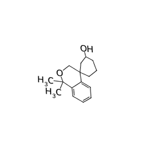 CC1(C)OCC2(CCCC(O)C2)c2ccccc21